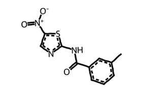 Cc1cccc(C(=O)Nc2ncc([N+](=O)[O-])s2)c1